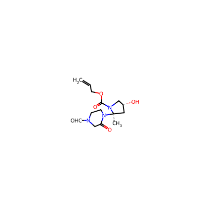 C=CCOC(=O)N1C[C@H](O)C[C@@]1(C)N1CCN(C=O)CC1=O